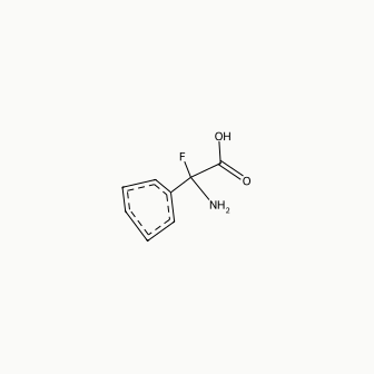 NC(F)(C(=O)O)c1ccccc1